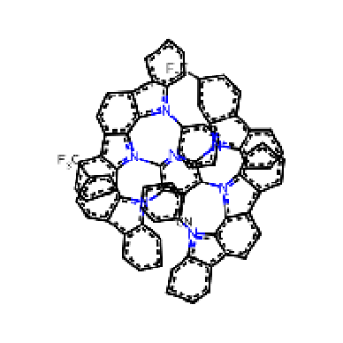 N#Cc1c(-n2c3ccccc3c3ccc(C(F)(F)F)cc32)c(-n2c3ccccc3c3ccc4c5ccccc5n(-c5ccccc5)c4c32)nc(-n2c3ccccc3c3ccc(C(F)(F)F)cc32)c1-n1c2ccccc2c2ccc3c4ccccc4n(-c4ccccc4)c3c21